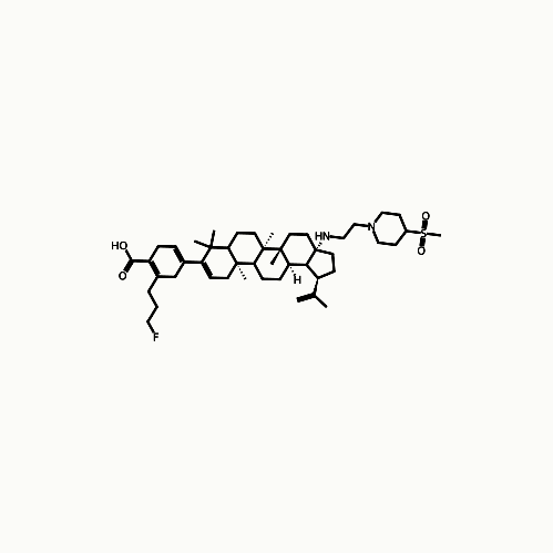 C=C(C)[C@@H]1CC[C@]2(NCCN3CCC(S(C)(=O)=O)CC3)CC[C@]3(C)[C@H](CCC4[C@@]5(C)CC=C(C6=CCC(C(=O)O)=C(CCCF)C6)C(C)(C)C5CC[C@]43C)C12